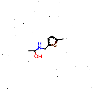 Cc1ccc(CNC(C)O)s1